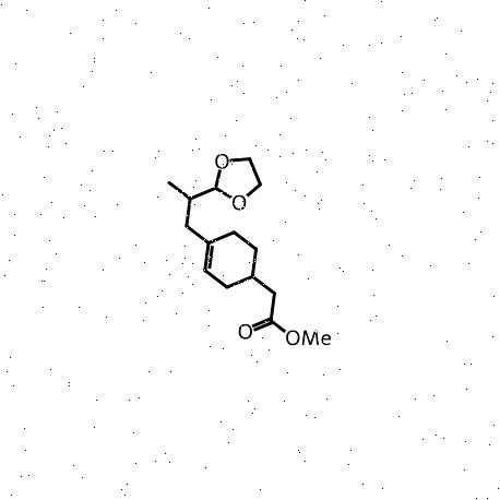 COC(=O)CC1CC=C(CC(C)C2OCCO2)CC1